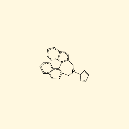 C1=CC(P2Cc3ccc4ccccc4c3-c3c(ccc4ccccc34)C2)C=C1